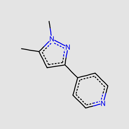 Cc1cc(-c2ccncc2)nn1C